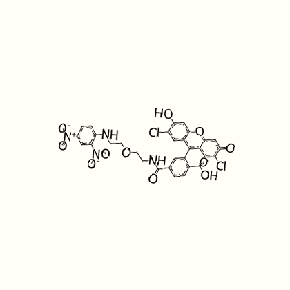 O=C(NCCOCCNc1ccc([N+](=O)[O-])cc1[N+](=O)[O-])c1ccc(C(=O)O)c(-c2c3cc(Cl)c(=O)cc-3oc3cc(O)c(Cl)cc23)c1